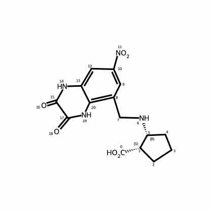 O=C(O)[C@H]1CCC[C@H]1NCc1cc([N+](=O)[O-])cc2[nH]c(=O)c(=O)[nH]c12